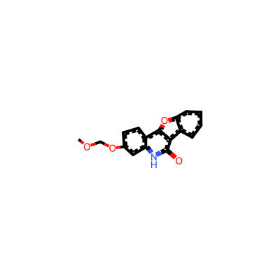 COCOc1ccc2c(c1)[nH]c(=O)c1c3ccccc3oc21